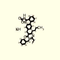 CCCCc1nc(CF)n(Cc2ccccc2)c(=O)c1Cc1ccc(-c2ccccc2-c2noc(=O)[nH]2)cc1.[KH]